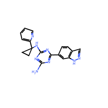 Nc1nc(NC2(c3ccccn3)CC2)nc(-c2ccc3cn[nH]c3c2)n1